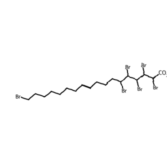 O=C(O)C(Br)C(Br)C(Br)C(Br)C(Br)CCCCCCCCCCCCBr